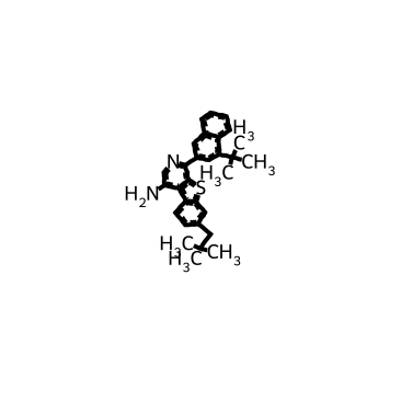 CC(C)(C)Cc1ccc2c(c1)sc1c(-c3cc(C(C)(C)C)c4ccccc4c3)ncc(N)c12